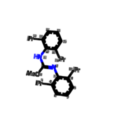 CO/C(=N\c1c(C(C)C)cccc1C(C)C)Nc1c(C(C)C)cccc1C(C)C